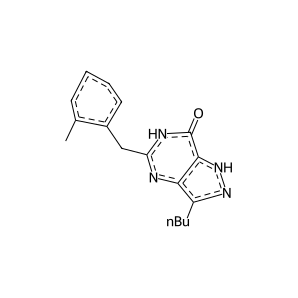 CCCCc1n[nH]c2c(=O)[nH]c(Cc3ccccc3C)nc12